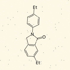 CCc1ccc(N2Cc3ccc(CC)cc3C2=O)cc1